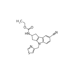 CCOC(=O)NC1Cc2c(n(Cc3cscn3)c3ccc(C#N)cc23)C1